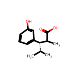 CC(C)[C@H](c1cccc(O)c1)C(C)C(=O)O